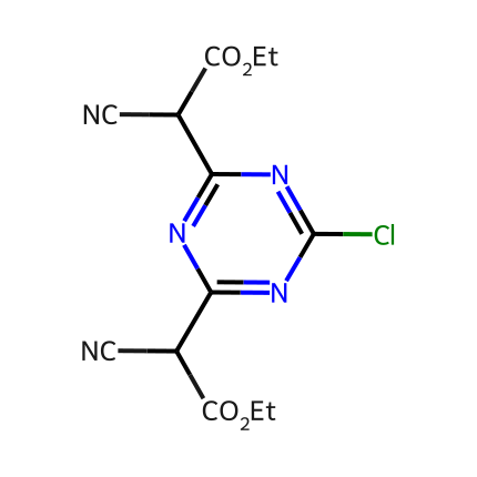 CCOC(=O)C(C#N)c1nc(Cl)nc(C(C#N)C(=O)OCC)n1